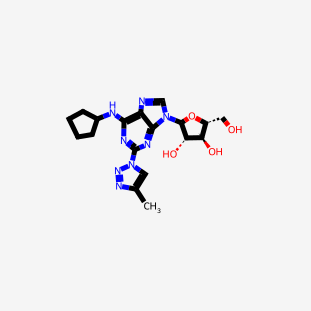 Cc1cn(-c2nc(NC3CCCC3)c3ncn(C4O[C@H](CO)[C@@H](O)[C@@H]4O)c3n2)nn1